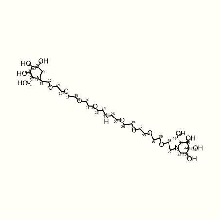 OC[C@@H]1[C@@H](O)[C@H](O)[C@@H](O)CN1CCOCCOCCOCCOCCNCCOCCOCCOCCOCCN1C[C@H](O)[C@@H](O)[C@H](O)[C@H]1CO